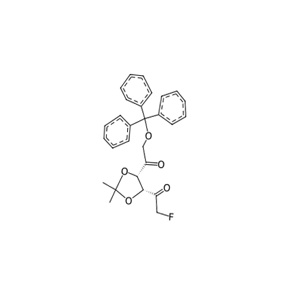 CC1(C)O[C@H](C(=O)COC(c2ccccc2)(c2ccccc2)c2ccccc2)[C@H](C(=O)CF)O1